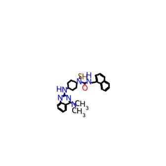 CN(C)c1nc(NC2CCC(N(S)C(=O)NCc3cccc4ccccc34)CC2)nc2ccccc12